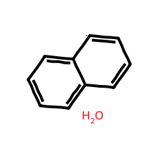 O.[c]1cccc2ccccc12